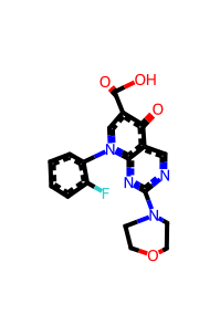 O=C(O)c1cn(-c2ccccc2F)c2nc(N3CCOCC3)ncc2c1=O